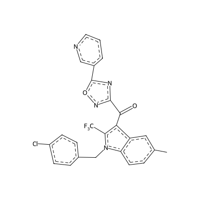 Cc1ccc2c(c1)c(C(=O)c1noc(-c3cccnc3)n1)c(C(F)(F)F)n2Cc1ccc(Cl)cc1